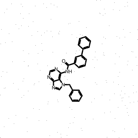 O=C(Nc1ncnc2ncn(Cc3ccccc3)c12)c1cccc(-c2ccccc2)c1